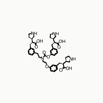 O=C(O)[C@@H](Cc1cccc(CCN(CCOc2cccc(C[C@H](C(=O)O)[C@H]3CCNC3)c2)C(=O)Oc2cccc(C[C@H](C(=O)O)[C@H]3CCNC3)c2)c1)[C@H]1CCNC1